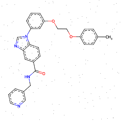 Cc1ccc(OCCOc2cccc(-n3cnc4cc(C(=O)NCc5cccnc5)ccc43)c2)cc1